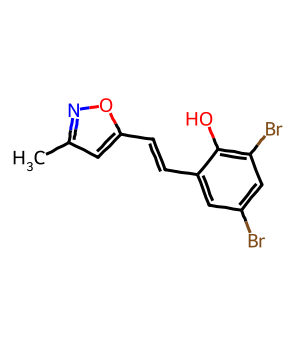 Cc1cc(C=Cc2cc(Br)cc(Br)c2O)on1